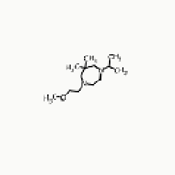 COCCN1CCN(C(C)C)CC(C)(C)C1